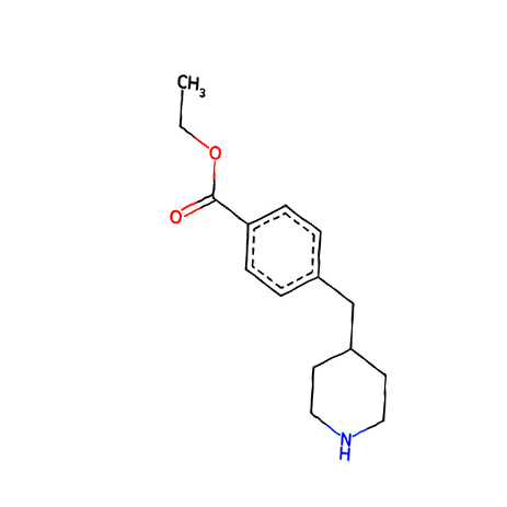 CCOC(=O)c1ccc(CC2CCNCC2)cc1